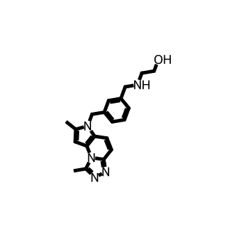 Cc1cc2c(ccc3nnc(C)n32)n1Cc1cccc(CNCCO)c1